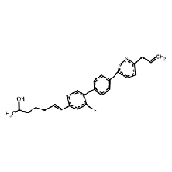 C=CCc1ccc(-c2ccc(-c3ccc(C=CCCCC(C)O)cc3F)cc2)cn1